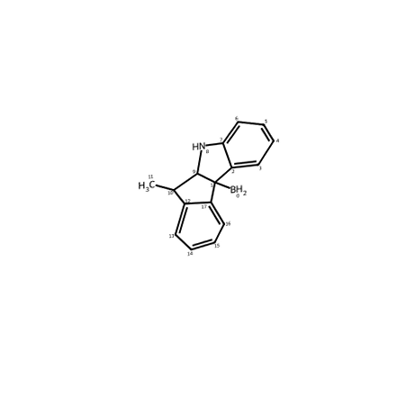 BC12c3ccccc3NC1C(C)c1ccccc12